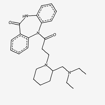 CCN(CC)CC1CCCCN1CCC(=O)N1c2ccccc2NC(=O)c2ccccc21